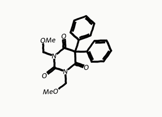 COCN1C(=O)N(COC)C(=O)C(c2ccccc2)(c2ccccc2)C1=O